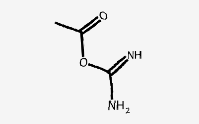 CC(=O)OC(=N)N